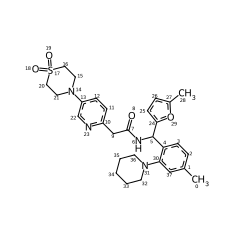 Cc1ccc(C(NC(=O)Cc2ccc(N3CCS(=O)(=O)CC3)cn2)c2ccc(C)o2)c(N2CCCCC2)c1